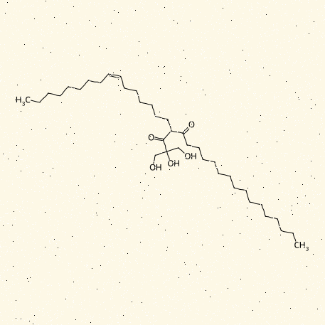 CCCCCCCC/C=C\CCCCCCC(C(=O)CCCCCCCCCCCCCCC)C(=O)C(O)(CO)CO